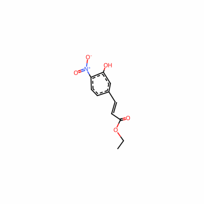 CCOC(=O)C=Cc1ccc([N+](=O)[O-])c(O)c1